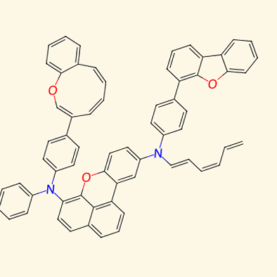 C=C/C=C\C=C\N(c1ccc(-c2cccc3c2oc2ccccc23)cc1)c1ccc2c(c1)-c1cccc3ccc(N(c4ccccc4)c4ccc(-c5ccccc6ccccc6oc5)cc4)c(c13)O2